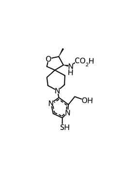 C[C@@H]1OCC2(CCN(c3ncc(S)nc3CO)CC2)[C@@H]1NC(=O)O